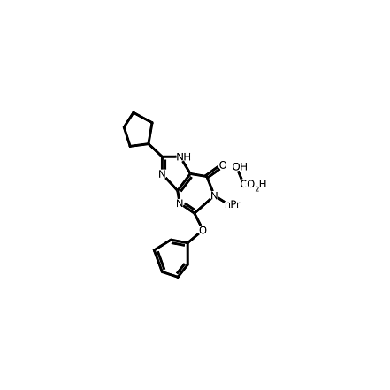 CCCn1c(Oc2ccccc2)nc2nc(C3CCCC3)[nH]c2c1=O.O=C(O)O